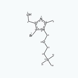 Cc1nc(CO)c(Br)n1COCC[Si](C)(C)C